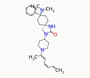 C=C/C=C\C=C(/C)N1CCC(N2C[C@]3(CC[C@](c4ccccc4)(N(C)C)CC3)NC2=O)CC1